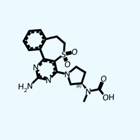 CN(C(=O)O)[C@@H]1CCN(c2nc(N)nc3c2S(=O)(=O)CCc2ccccc2-3)C1